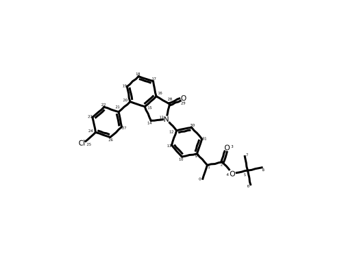 CC(C(=O)OC(C)(C)C)c1ccc(N2Cc3c(cccc3-c3ccc(Cl)cc3)C2=O)cc1